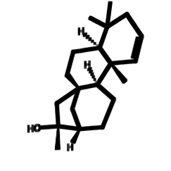 CC1(C)CC=C[C@@]2(C)[C@H]1CC[C@]13C[C@H](CC[C@@H]12)[C@](C)(O)C3